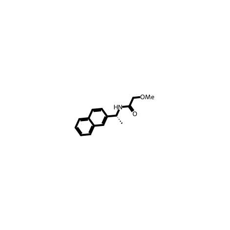 COCC(=O)N[C@H](C)c1ccc2ccccc2c1